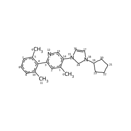 Cc1cc(-c2c(C)cccc2C)ncc1N1C=CN(C2CCCC2)C1